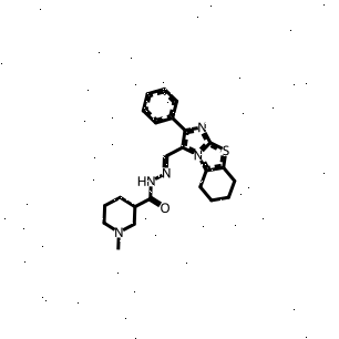 CN1CCCC(C(=O)NN=Cc2c(-c3ccccc3)nc3sc4c(n23)CCCC4)C1